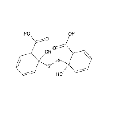 O=C(O)C1C=CC=CC1(O)SSC1(O)C=CC=CC1C(=O)O